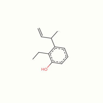 [CH2]C(C=C)c1cccc(O)c1CC